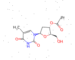 Cc1cn([C@H]2C[C@H](OC(=O)C(C)C)[C@@H](CO)O2)c(=O)[nH]c1=O